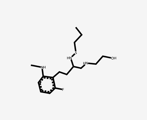 CCCSNC(CCc1c(F)cccc1NC)CNCCO